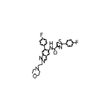 O=C(Nc1cc2cn(CCN3CCOCC3)nc2cc1-c1ccc(F)cc1)c1csc(-c2ccc(F)cc2)n1